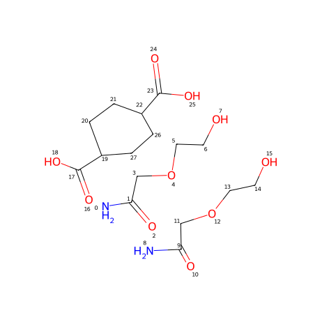 NC(=O)COCCO.NC(=O)COCCO.O=C(O)C1CCC(C(=O)O)CC1